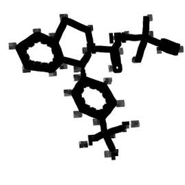 C#CC(C)(C)NC(=O)N1CCc2ccccc2[C@H]1c1ccc(C(F)(F)F)cc1